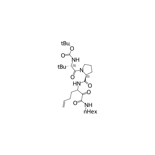 C=CCCC(NC(=O)[C@@H]1CCCN1C(=O)[C@@H](NC(=O)OC(C)(C)C)C(C)(C)C)C(=O)C(=O)NCCCCCC